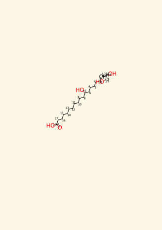 CCCCCCC(O)CCCCCCCCCCC(=O)O.OCCO.[LiH]